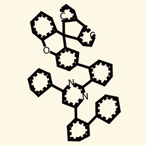 c1ccc(-c2cc(-c3ccccc3-c3ccccc3)nc(-c3ccccc3-c3ccc4c(c3)C3(c5ccccc5O4)c4ccccc4-c4ccccc43)n2)cc1